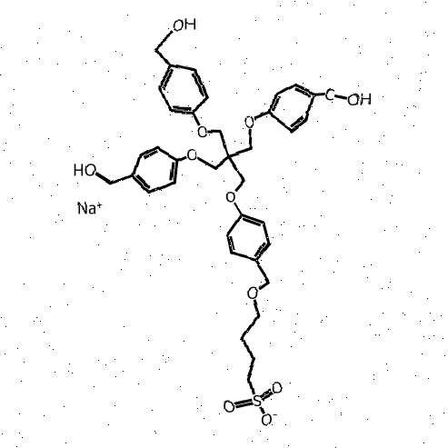 O=S(=O)([O-])CCCCOCc1ccc(OCC(COc2ccc(CO)cc2)(COc2ccc(CO)cc2)COc2ccc(CO)cc2)cc1.[Na+]